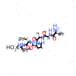 CC(C)C[C@H](NC(=O)[C@@H]1CCCN1C(=O)[C@H](C)NC(=O)CNC(=O)[C@@H](N)C(C)C)C(=O)N[C@H](C(=O)O)C(C)C